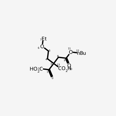 C=C(C(=O)O)C(CCOCC)(CC(=O)OCCCC)C(=O)O